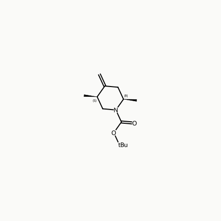 C=C1C[C@@H](C)N(C(=O)OC(C)(C)C)C[C@H]1C